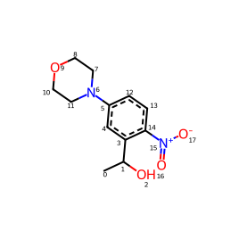 CC(O)c1cc(N2CCOCC2)ccc1[N+](=O)[O-]